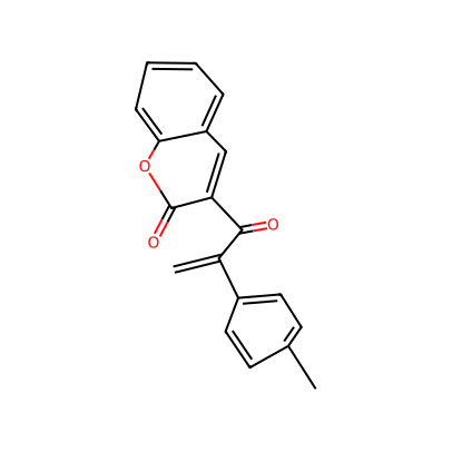 C=C(C(=O)c1cc2ccccc2oc1=O)c1ccc(C)cc1